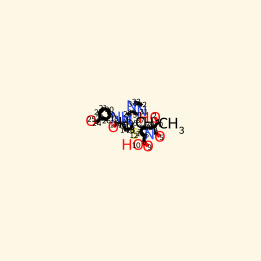 C[C@@H](O)[C@H]1C(=O)N2C(C(=O)O)=C(S[C@H]3C[C@@H](C(=O)Nc4cccc(C=O)c4)N(Cc4cnccn4)C3)[C@H](C)[C@H]12